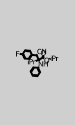 CC(C)OC(=O)C(Nc1ccccc1)(C(C)C)C(C#N)c1ccc(F)cc1